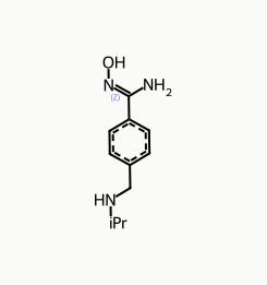 CC(C)NCc1ccc(/C(N)=N/O)cc1